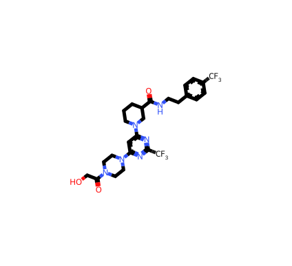 O=C(NCCc1ccc(C(F)(F)F)cc1)C1CCCN(c2cc(N3CCN(C(=O)CO)CC3)nc(C(F)(F)F)n2)C1